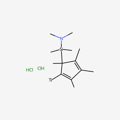 CC1=C(C)C(C)([Si](C)(C)N(C)C)[C]([Ti])=C1C.Cl.Cl